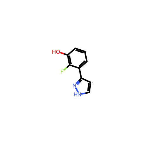 Oc1cccc(-c2[c]c[nH]n2)c1F